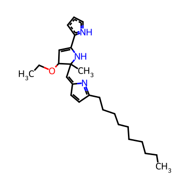 CCCCCCCCCCC1=NC(=CC2(C)NC(c3ccc[nH]3)=CC2OCC)C=C1